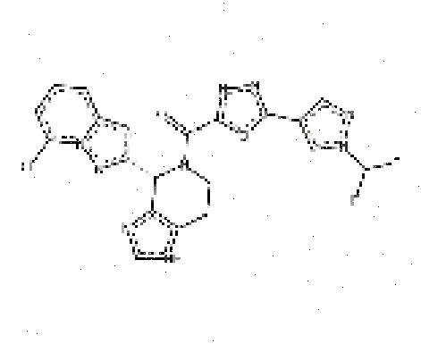 O=C(c1nnc(-c2cnn(C(F)F)c2)o1)N1CCc2[nH]cnc2[C@@H]1c1cc2cccc(Cl)n2n1